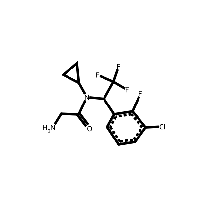 NCC(=O)N(C1CC1)C(c1cccc(Cl)c1F)C(F)(F)F